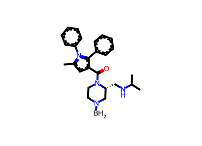 BN1CCN(C(=O)c2cc(C)n(-c3ccccc3)c2-c2ccccc2)[C@H](CNC(C)C)C1